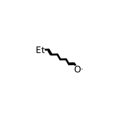 CCC=CCCCC=C[O]